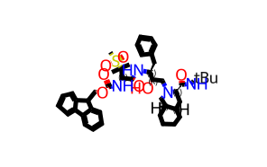 CC(C)(C)NC(=O)[C@@H]1C[C@@H]2CCCC[C@@H]2CN1C[C@@H](O)[C@H](Cc1ccccc1)NC(=O)[C@@H](NC(=O)OCC1c2ccccc2-c2ccccc21)C(C)(C)S(C)(=O)=O